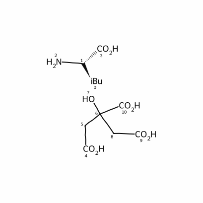 CC[C@H](C)[C@H](N)C(=O)O.O=C(O)CC(O)(CC(=O)O)C(=O)O